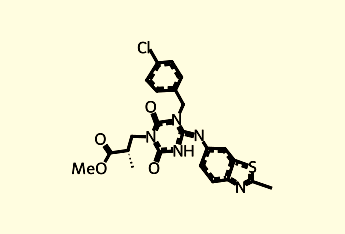 COC(=O)[C@@H](C)Cn1c(=O)[nH]/c(=N\c2ccc3nc(C)sc3c2)n(Cc2ccc(Cl)cc2)c1=O